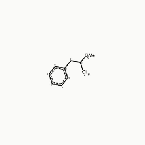 COC(C)Cc1c[c]ccc1